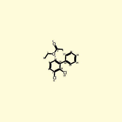 CCOC(C)=O.Clc1cccc(-c2ccccc2)c1Cl